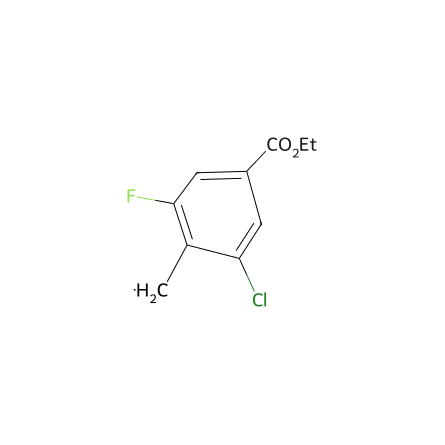 [CH2]c1c(F)cc(C(=O)OCC)cc1Cl